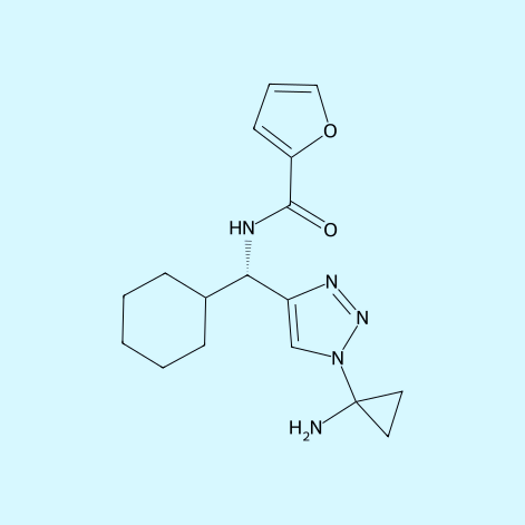 NC1(n2cc([C@@H](NC(=O)c3ccco3)C3CCCCC3)nn2)CC1